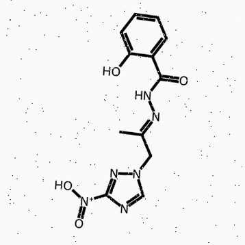 C/C(Cn1cnc([N+](=O)O)n1)=N\NC(=O)c1ccccc1O